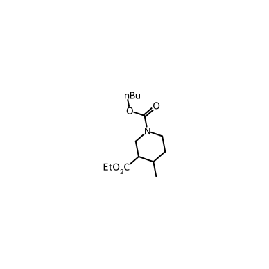 CCCCOC(=O)N1CCC(C)C(C(=O)OCC)C1